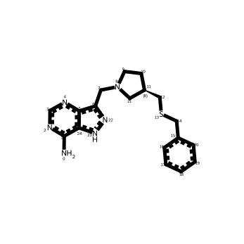 Nc1ncnc2c(CN3CC[C@@H](CSCc4ccccc4)C3)n[nH]c12